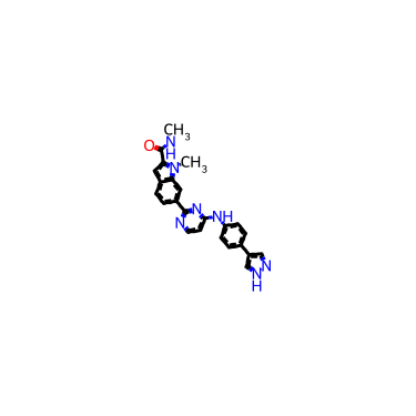 CNC(=O)c1cc2ccc(-c3nccc(Nc4ccc(-c5cn[nH]c5)cc4)n3)cc2n1C